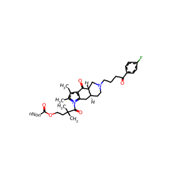 CCCCCCCCCC(=O)OCCC(C)(C)C(=O)n1c(C)c(C)c2c1C[C@@H]1CCN(CCCC(=O)c3ccc(F)cc3)C[C@H]1C2=O